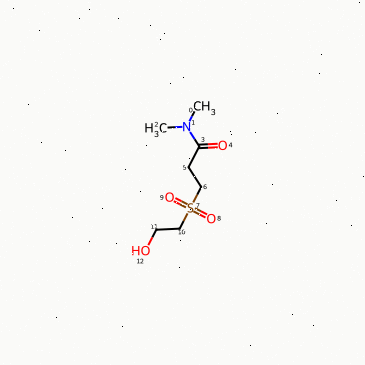 CN(C)C(=O)CCS(=O)(=O)CCO